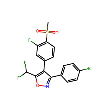 CS(=O)(=O)c1ccc(-c2c(-c3ccc(Br)cc3)noc2C(F)F)cc1F